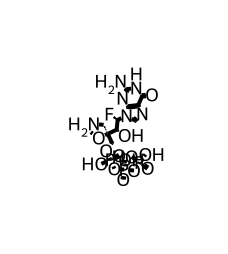 CO[C@](CN)(COP(=O)(O)OP(=O)(O)OP(=O)(O)O)[C@@H](O)[C@@H](F)n1cnc2c(=O)[nH]c(N)nc21